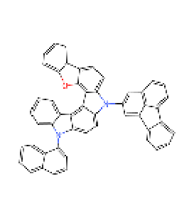 c1ccc2c(c1)-c1cccc3cc(-n4c5ccc6c7ccccc7oc6c5c5c6c7ccccc7n(-c7cccc8ccccc78)c6ccc54)cc-2c13